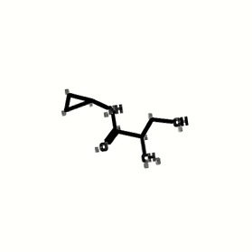 CC(CO)C(=O)NC1CC1